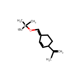 C=C(C)C1C=C/C(=C\O[Si](C)(C)C(C)(C)C)CC1